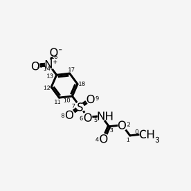 CCOC(=O)NOS(=O)(=O)c1ccc([N+](=O)[O-])cc1